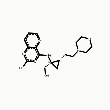 Nc1nc(N[C@]2(CO)C[C@H]2CCN2CCOCC2)c2ncccc2n1